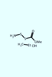 CCC.COC(=O)SSN.Cl